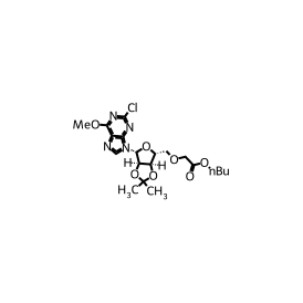 CCCCOC(=O)COC[C@H]1O[C@@H](n2cnc3c(OC)nc(Cl)nc32)[C@@H]2OC(C)(C)O[C@@H]21